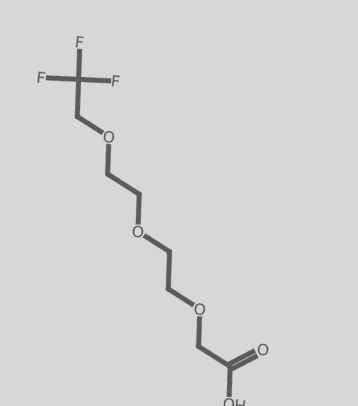 O=C(O)COCCOCCOCC(F)(F)F